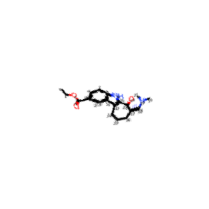 CCOC(=O)c1ccc2[nH]c3c(c2c1)CCC/C(=C/N(C)C)C3=O